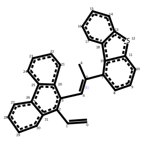 C=Cc1c(/C=C(\C)c2cccc3sc4ccccc4c23)c2ccccc2c2ccccc12